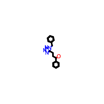 O=C(CCc1nnnn1Cc1ccccc1)c1ccccc1